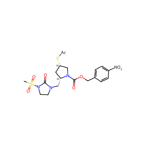 CC(=O)S[C@H]1C[C@@H](CN2CCN(S(C)(=O)=O)C2=O)N(C(=O)OCc2ccc([N+](=O)[O-])cc2)C1